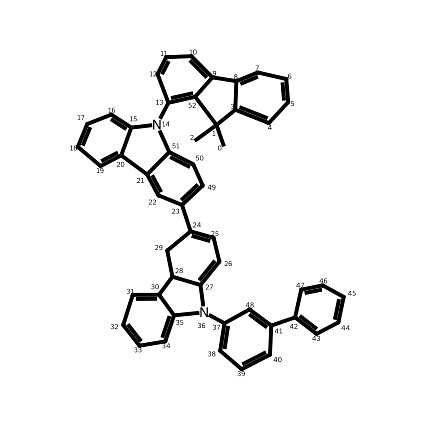 CC1(C)c2ccccc2-c2cccc(-n3c4ccccc4c4cc(C5=CC=C6C(C5)c5ccccc5N6c5cccc(-c6ccccc6)c5)ccc43)c21